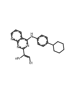 CC/C=C(\CCC)c1nc(Nc2ccc(C3CCCCC3)cc2)c2cccnc2n1